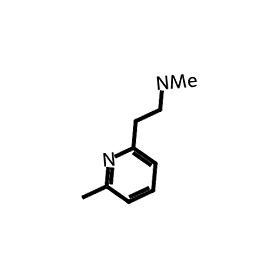 CNCCc1cccc(C)n1